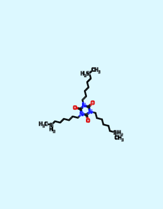 C[SiH2]CCCCCCn1c(=O)n(CCCCCC[SiH2]C)c(=O)n(CCCCCC[SiH2]C)c1=O